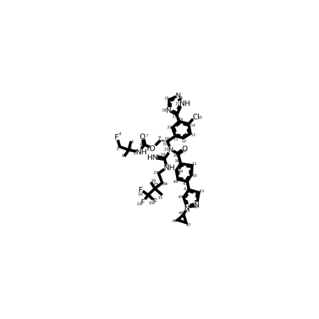 CC(C)(CF)NC(=O)OC[C@H](c1ccc(Cl)c(-c2ncn[nH]2)c1)N(C(=N)NCCC(C)(C)C(F)(F)F)C(=O)c1ccc(-c2cnn(C3CC3)c2)cc1